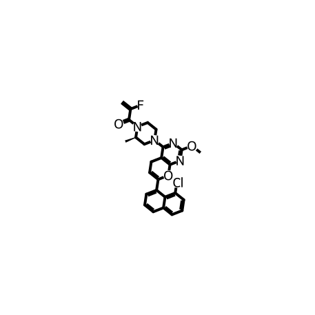 C=C(F)C(=O)N1CCN(c2nc(OC)nc3c2CC=C(c2cccc4cccc(Cl)c24)O3)C[C@H]1C